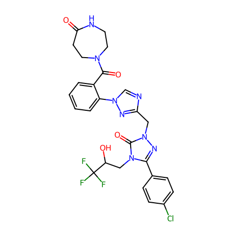 O=C1CCN(C(=O)c2ccccc2-n2cnc(Cn3nc(-c4ccc(Cl)cc4)n(CC(O)C(F)(F)F)c3=O)n2)CCN1